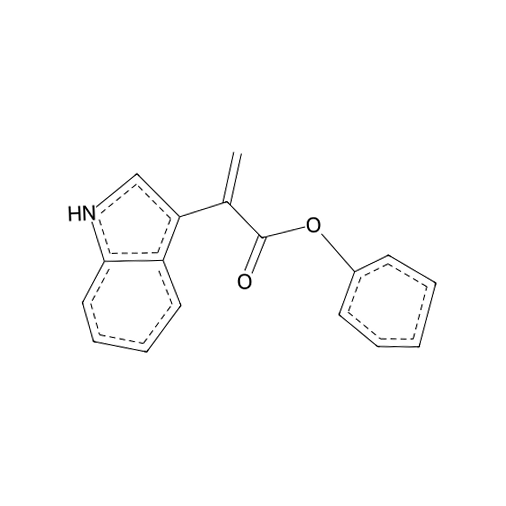 C=C(C(=O)Oc1ccccc1)c1c[nH]c2ccccc12